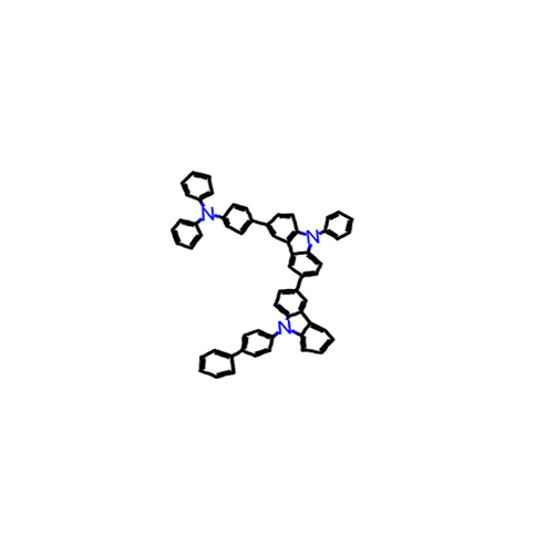 c1ccc(-c2ccc(-n3c4ccccc4c4cc(-c5ccc6c(c5)c5cc(-c7ccc(N(c8ccccc8)c8ccccc8)cc7)ccc5n6-c5ccccc5)ccc43)cc2)cc1